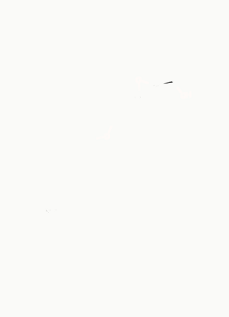 COc1ccc(COCC[C@@H]2O[C@H]2CO)cc1